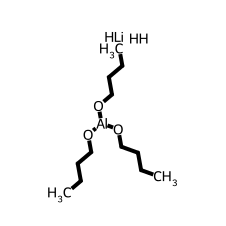 CCCC[O][Al]([O]CCCC)[O]CCCC.[HH].[LiH]